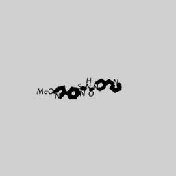 COc1ccc(-c2ccc3nc(NC(=O)N4CCC(=Cc5ccccn5)CC4)sc3c2)cn1